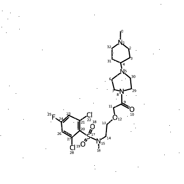 CN1CCC(N2CCN(C(=O)COCCN(C)S(=O)(=O)c3c(Cl)cc(F)cc3Cl)CC2)CC1